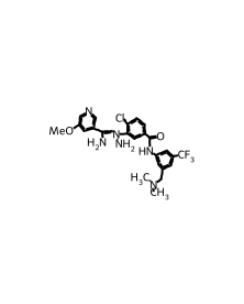 COc1cncc(/C(N)=C/N(N)c2cc(C(=O)Nc3cc(CN(C)C)cc(C(F)(F)F)c3)ccc2Cl)c1